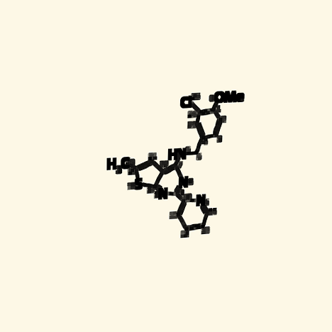 COc1ccc(CNc2nc(-c3ccccn3)nc3sc(C)cc23)cc1Cl